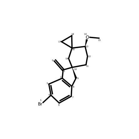 C=C1c2cc(Br)ccc2C[C@@]12CC[C@H](OC)C1(CC1)C2